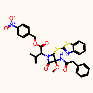 C=C(C)C(C(=O)OCc1ccc([N+](=O)[O-])cc1)N1C(=O)C(NC(=O)Cc2ccccc2)(OC)C1Sc1nc2ccccc2s1